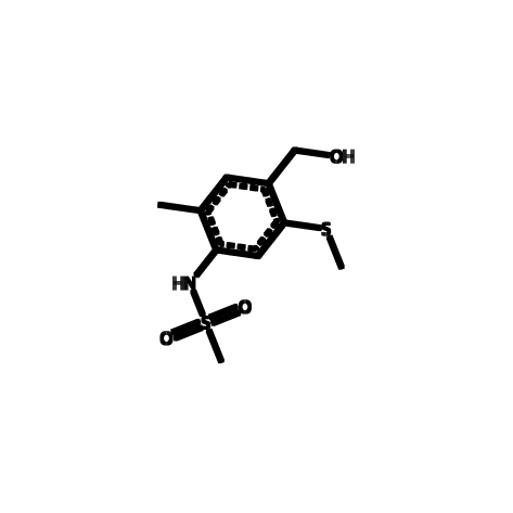 CSc1cc(NS(C)(=O)=O)c(C)cc1CO